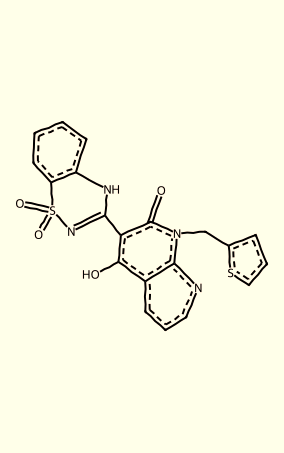 O=c1c(C2=NS(=O)(=O)c3ccccc3N2)c(O)c2cccnc2n1Cc1cccs1